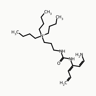 C=C/C=C(\C=C/N)NC(=O)NCCC[N+](CCCC)(CCCC)CCCC